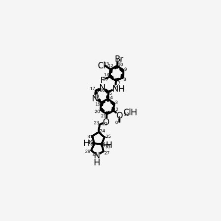 COc1cc2c(Nc3ccc(Br)c(Cl)c3F)ncnc2cc1OCC1C[C@H]2CNC[C@H]2C1.Cl